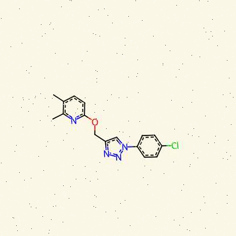 Cc1ccc(OCc2cn(-c3ccc(Cl)cc3)nn2)nc1C